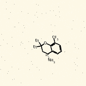 CCC1(CC)C[C@@H](N)c2cccc(C(F)(F)F)c2O1